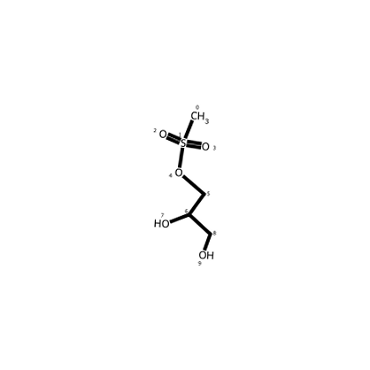 CS(=O)(=O)OCC(O)CO